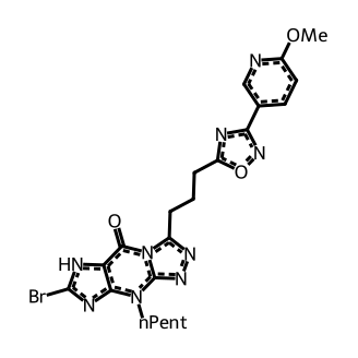 CCCCCn1c2nc(Br)[nH]c2c(=O)n2c(CCCc3nc(-c4ccc(OC)nc4)no3)nnc12